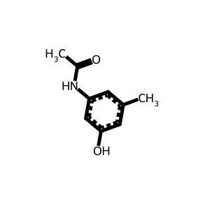 CC(=O)Nc1cc(C)cc(O)c1